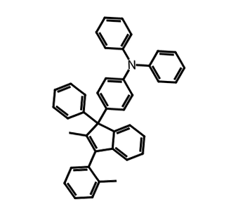 CC1=C(c2ccccc2C)c2ccccc2C1(c1ccccc1)c1ccc(N(c2ccccc2)c2ccccc2)cc1